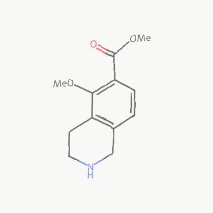 COC(=O)c1ccc2c(c1OC)CCNC2